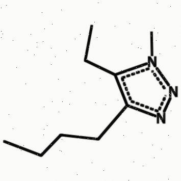 CCCCc1nnn(C)c1CC